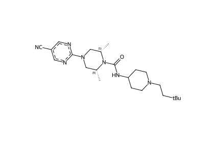 C[C@@H]1CN(c2ncc(C#N)cn2)C[C@H](C)N1C(=O)NC1CCN(CCC(C)(C)C)CC1